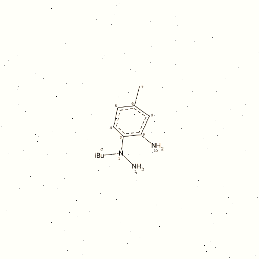 CCC(C)N(N)c1ccc(C)cc1N